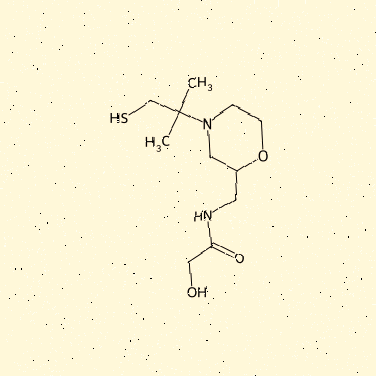 CC(C)(CS)N1CCOC(CNC(=O)CO)C1